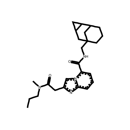 CCCN(C)C(=O)Cc1cn2c(C(=O)NCC34CCCC(C3)C3CC3C4)cccc2n1